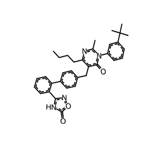 CCCCc1nc(C)n(-c2cccc(C(C)(C)C)c2)c(=O)c1Cc1ccc(-c2ccccc2-c2noc(=O)[nH]2)cc1